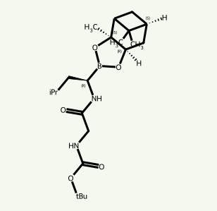 CC(C)C[C@H](NC(=O)CNC(=O)OC(C)(C)C)B1O[C@@H]2C[C@@H]3CC(C3(C)C)[C@]2(C)O1